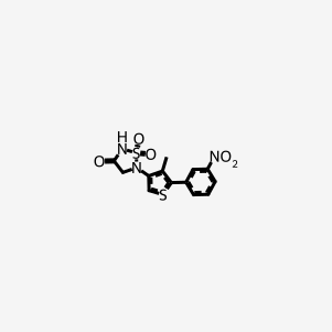 Cc1c(N2CC(=O)NS2(=O)=O)csc1-c1cccc([N+](=O)[O-])c1